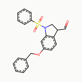 O=CC1CN(S(=O)(=O)c2ccccc2)c2cc(OCc3ccccc3)ccc21